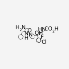 CC(N)C(CC1CCCCC1)NC(=O)N1CCC[C@@H]([C@@](O)(CCCNC(=O)O)c2cccc(Cl)c2F)C1